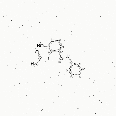 CC(=O)Cc1c(O)cccc1OCc1ccccc1